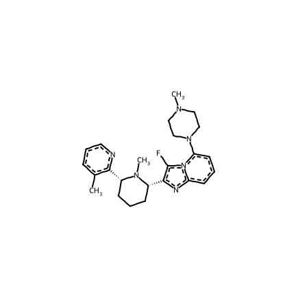 Cc1cccnc1[C@H]1CCC[C@@H](c2nc3cccc(N4CCN(C)CC4)n3c2F)N1C